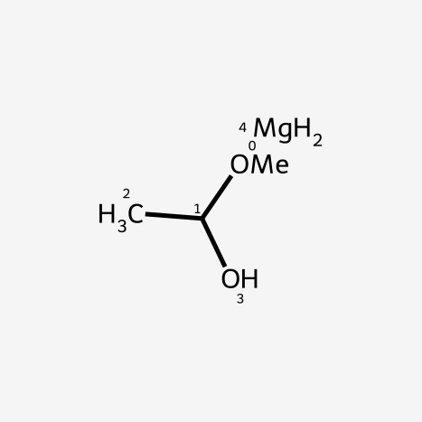 COC(C)O.[MgH2]